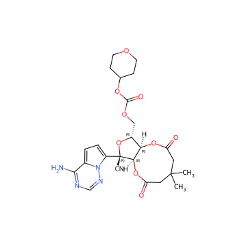 CC1(C)CC(=O)O[C@H]2[C@@H](OC(=O)C1)[C@](C#N)(c1ccc3c(N)ncnn13)O[C@@H]2COC(=O)OC1CCOCC1